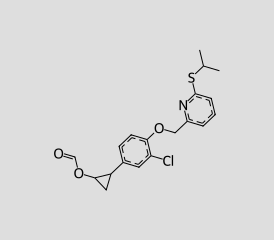 CC(C)Sc1cccc(COc2ccc(C3CC3OC=O)cc2Cl)n1